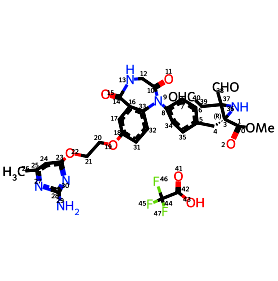 COC(=O)[C@]1(Cc2ccc(N3C(=O)CNC(=O)c4cc(OCCOc5cc(C)nc(N)n5)ccc43)cc2)NC1(C=O)CC=O.O=C(O)C(F)(F)F